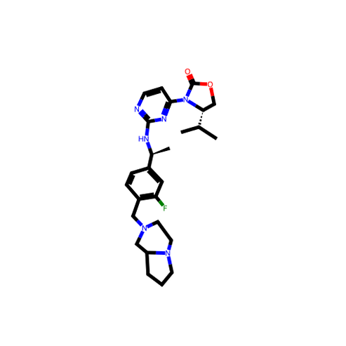 CC(C)[C@H]1COC(=O)N1c1ccnc(N[C@@H](C)c2ccc(CN3CCN4CCCC4C3)c(F)c2)n1